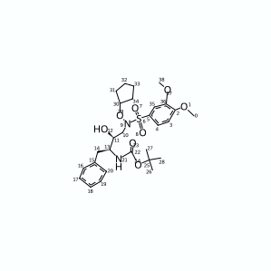 COc1ccc(S(=O)(=O)N(C[C@H](O)[C@H](Cc2ccccc2)NC(=O)OC(C)(C)C)OC2CCCC2)cc1OC